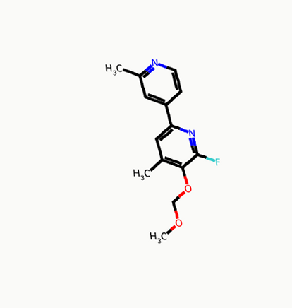 COCOc1c(C)cc(-c2ccnc(C)c2)nc1F